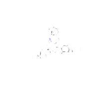 NC(=O)CN1C/C(=C/c2ccccn2)C(=O)C(c2ccc(O)cc2)C1